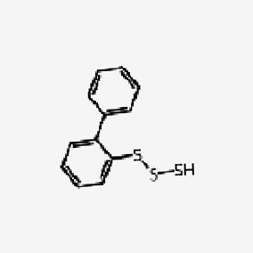 SSSc1ccccc1-c1ccccc1